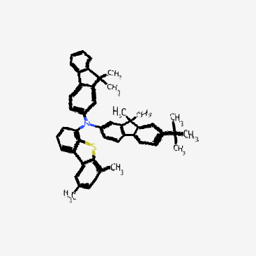 Cc1cc(C)c2sc3c(N(c4ccc5c(c4)C(C)(C)c4ccccc4-5)c4ccc5c(c4)C(C)(C)c4cc(C(C)(C)C)ccc4-5)cccc3c2c1